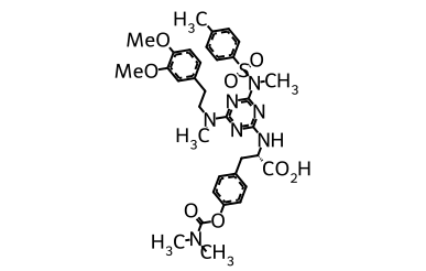 COc1ccc(CCN(C)c2nc(N[C@@H](Cc3ccc(OC(=O)N(C)C)cc3)C(=O)O)nc(N(C)S(=O)(=O)c3ccc(C)cc3)n2)cc1OC